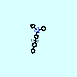 CCC(CC)(c1ccc(C2=CCCC=C2)cc1)c1ccc(-c2nc(C3=CCCC=C3)nc(-c3ccccc3)n2)cc1